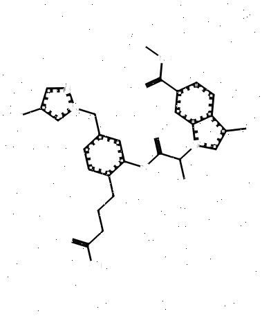 CNC(=O)c1ccc2c(C)cn(C(C)C(=O)Nc3cc(Cn4cc(Cl)cn4)ccc3CCCC(=O)O)c2c1